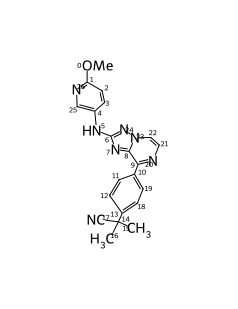 COc1ccc(Nc2nc3c(-c4ccc(C(C)(C)C#N)cc4)nccn3n2)cn1